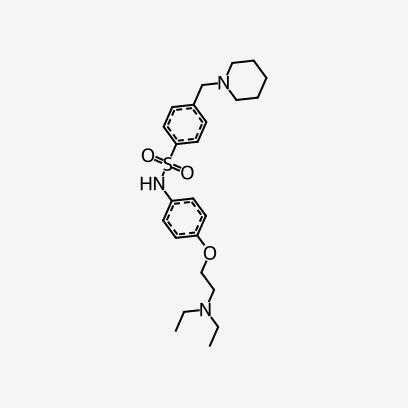 CCN(CC)CCOc1ccc(NS(=O)(=O)c2ccc(CN3CCCCC3)cc2)cc1